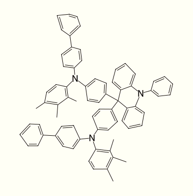 Cc1ccc(N(c2ccc(-c3ccccc3)cc2)c2ccc(C3(c4ccc(N(c5ccc(-c6ccccc6)cc5)c5ccc(C)c(C)c5C)cc4)c4ccccc4N(c4ccccc4)c4ccccc43)cc2)c(C)c1C